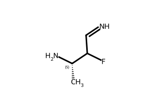 C[C@H](N)C(F)C=N